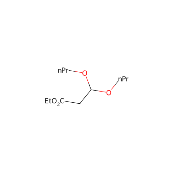 CCCOC(CC(=O)OCC)OCCC